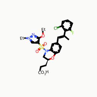 CCOc1nn(CC)cc1S(=O)(=O)N1C[C@H](CCC(=O)O)Oc2ccc(/C=C(\C)c3c(F)cccc3Cl)cc21